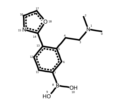 CN(C)CCc1cc(B(O)O)ccc1-c1ncco1